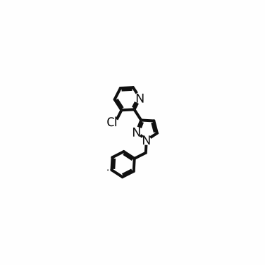 Clc1cccnc1-c1ccn(Cc2cc[c]cc2)n1